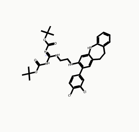 CC(C)(C)OC(=O)/N=C(\NCCNc1cc2c(cc1-c1ccc(Cl)c(Cl)c1)CCc1ccccc1N2)NC(=O)OC(C)(C)C